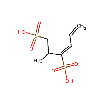 C=C/C=C(\C(C)CS(=O)(=O)O)S(=O)(=O)O